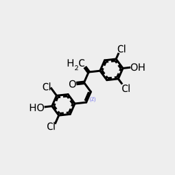 C=C(C(=O)/C=C\c1cc(Cl)c(O)c(Cl)c1)c1cc(Cl)c(O)c(Cl)c1